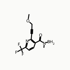 BN(C)C(=O)c1ccc(C(F)(F)F)nc1C#CCOC